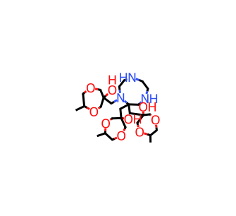 CC1COCC(O)(CN2CCNCCNCC2(CC2(O)COCC(C)OC2)CC2(O)COCC(C)OC2)CO1